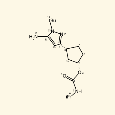 CC(C)NC(=O)O[C@H]1CC[C@@H](c2cc(N)n(C(C)(C)C)n2)C1